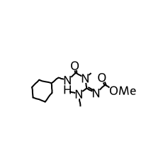 COC(=O)/N=C(/N(C)C)N(C)C(=O)NCC1CCCCC1